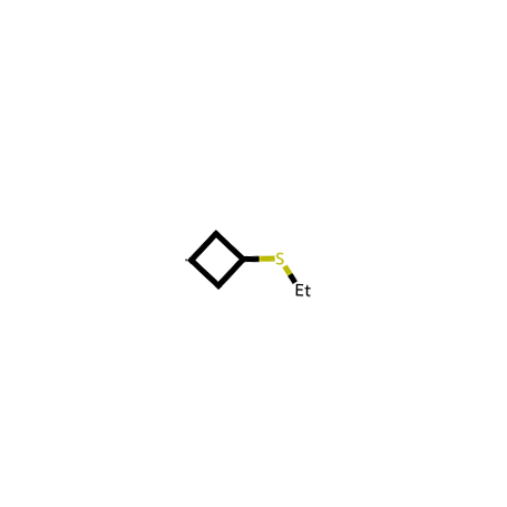 CCSC1C[CH]C1